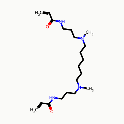 C=CC(=O)NCCCN(C)CCCCCCN(C)CCCNC(=O)C=C